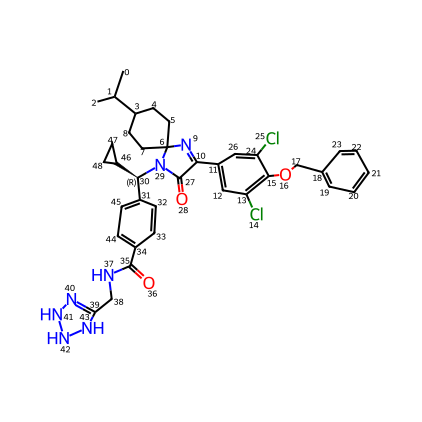 CC(C)C1CCC2(CC1)N=C(c1cc(Cl)c(OCc3ccccc3)c(Cl)c1)C(=O)N2[C@@H](c1ccc(C(=O)NCC2=NNNN2)cc1)C1CC1